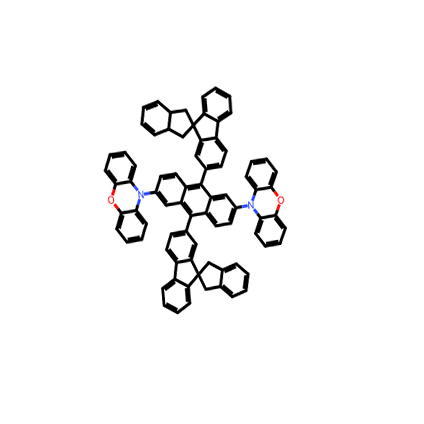 C1=CC2CC3(CC2C=C1)c1ccccc1-c1ccc(-c2c4ccc(N5c6ccccc6Oc6ccccc65)cc4c(-c4ccc5c(c4)C4(Cc6ccccc6C4)c4ccccc4-5)c4ccc(N5c6ccccc6Oc6ccccc65)cc24)cc13